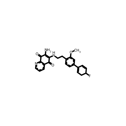 COc1cc(C2=CCC(F)C=C2)ccc1CCNC1=C(N)C(=O)c2ncccc2C1=O